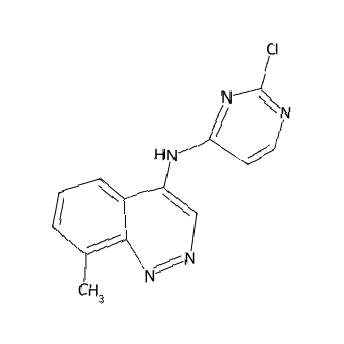 Cc1cccc2c(Nc3ccnc(Cl)n3)cnnc12